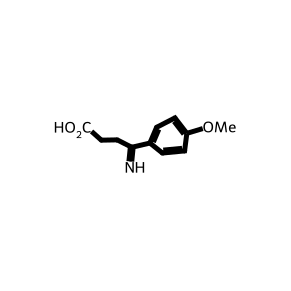 COc1ccc(C(=N)CCC(=O)O)cc1